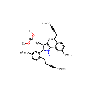 CCCCCC#CCCc1ccc(CCCCC)cc1C1=C(C)C(CCCC)=C(c2cc(CCCCC)ccc2CCC#CCCCCC)[N+]1=[N-].CC[O][Pd][O]CC